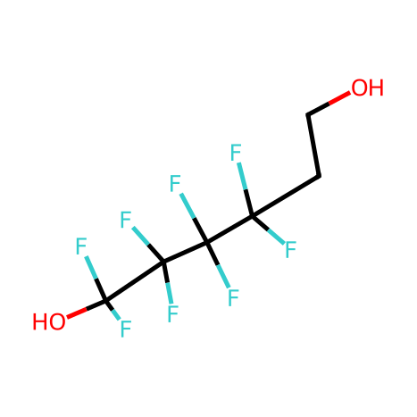 OCCC(F)(F)C(F)(F)C(F)(F)C(O)(F)F